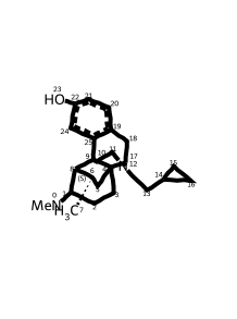 CNC1CCC23C[C@H](C)C1C21CCN(CC2CC2)C3Cc2ccc(O)cc21